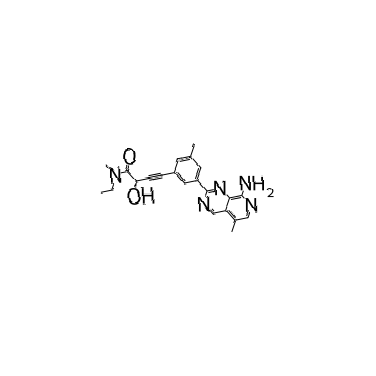 CCN(C)C(=O)[C@H](O)C#Cc1cc(C)cc(-c2ncc3c(C)cnc(N)c3n2)c1